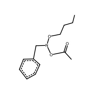 CCCCON(Cc1ccccc1)OC(C)=O